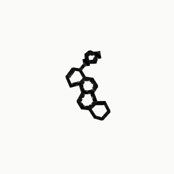 C1=CC(n2ccnc2)c2ccc3c4c(ccc3c2=C1)CCCC=4